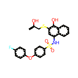 C=C(O)CSc1cc(NS(=O)(=O)c2ccc(Oc3ccc(F)cc3)cc2)c2ccccc2c1O